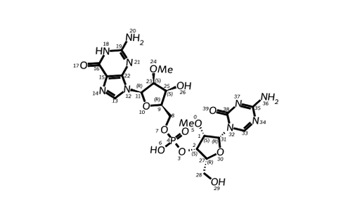 CO[C@H]1[C@@H](OP(=O)(O)OC[C@H]2O[C@@H](n3cnc4c(=O)[nH]c(N)nc43)[C@@H](OC)[C@H]2O)[C@@H](CO)O[C@H]1n1cnc(N)nc1=O